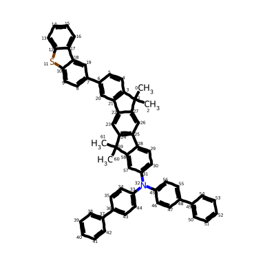 CC1(C)c2ccc(-c3ccc4sc5ccccc5c4c3)cc2-c2cc3c(cc21)-c1ccc(N(c2ccc(-c4ccccc4)cc2)c2ccc(-c4ccccc4)cc2)cc1C3(C)C